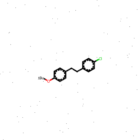 CC(C)(C)Oc1ccc(C[CH]c2ccc(Cl)cc2)cc1